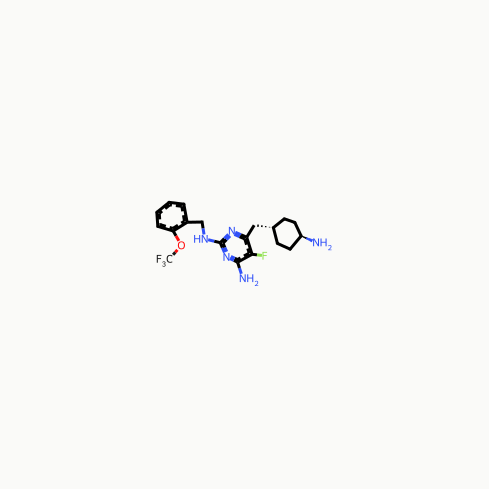 Nc1nc(NCc2ccccc2OC(F)(F)F)nc(C[C@H]2CC[C@H](N)CC2)c1F